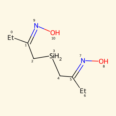 CCC(C[SiH2]CC(CC)=NO)=NO